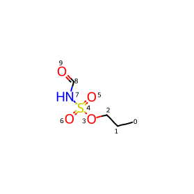 CCCOS(=O)(=O)NC=O